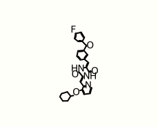 O=C(c1ccc(F)cc1)c1cccc(C=c2[nH]c(=O)c(=Cc3ncccc3OCC3CCCCC3)[nH]c2=O)c1